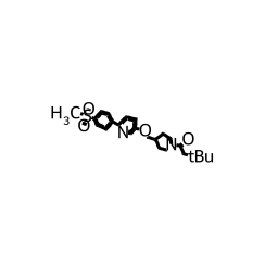 CC(C)(C)CC(=O)N1CCC(COc2ccc(-c3ccc(S(C)(=O)=O)cc3)nc2)CC1